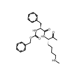 CNCCCC[C@H](NC(=O)[C@H](Cc1ccccc1)NC(=O)OCc1ccccc1)C(C)=O